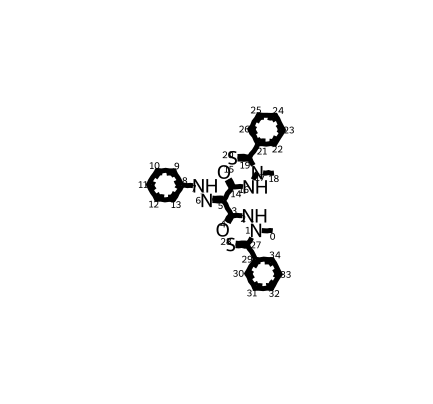 CN(NC(=O)C(=NNc1ccccc1)C(=O)NN(C)C(=S)c1ccccc1)C(=S)c1ccccc1